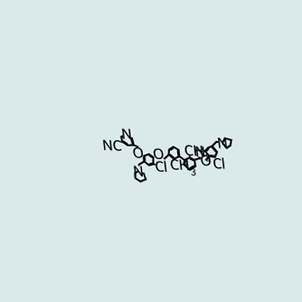 Cc1c(COc2cc(OCc3cncc(C#N)c3)c(CN3CCCCC3)cc2Cl)cccc1-c1cccc(-c2nc3cc(CN4CCCC4)cc(Cl)c3o2)c1C